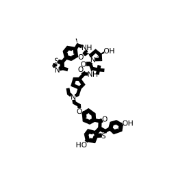 CCN(CCOc1ccc(C(=O)c2c(-c3ccc(O)cc3)sc3cc(O)ccc23)cc1)CC1CCC(C(=O)N[C@H](C(=O)N2C[C@H](O)C[C@H]2C(=O)N[C@@H](C)c2ccc(-c3scnc3C)cc2)C(C)(C)C)C1